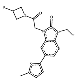 Cc1ccc(-c2cnc3c(c2)n(CC(=O)N2CC(F)C2)c(=O)n3CF)s1